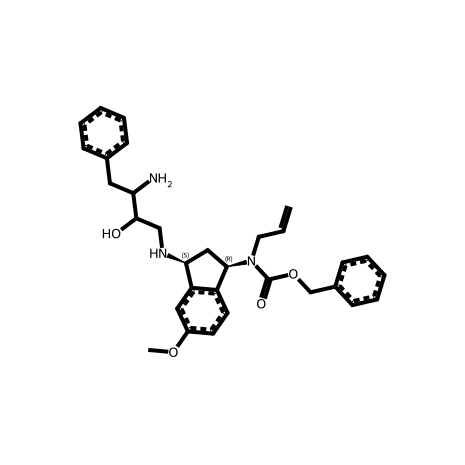 C=CCN(C(=O)OCc1ccccc1)[C@@H]1C[C@H](NCC(O)C(N)Cc2ccccc2)c2cc(OC)ccc21